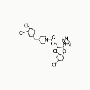 O=C(OCCC(Oc1ccc(Cl)cc1Cl)n1ncnn1)N1CCC(Cc2ccc(Cl)c(Cl)c2)CC1